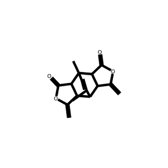 C=C1OC(=O)C2C1C1C(C)=CC2(C)C2C(=O)OC(=C)C12